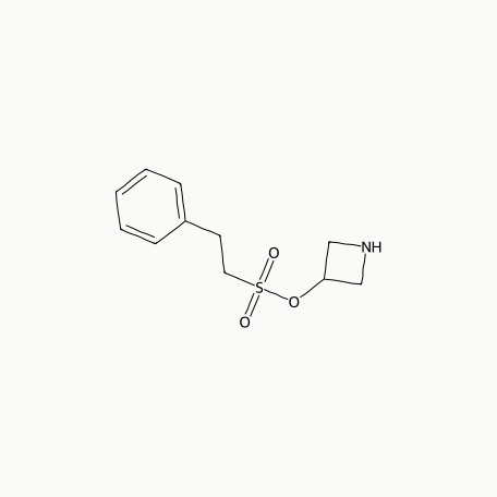 O=S(=O)(CCc1ccccc1)OC1CNC1